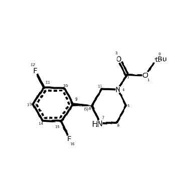 CC(C)(C)OC(=O)N1CCN[C@@H](c2cc(F)ccc2F)C1